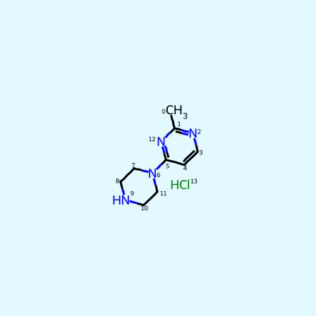 Cc1nccc(N2CCNCC2)n1.Cl